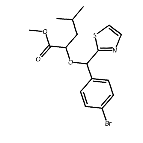 COC(=O)C(CC(C)C)OC(c1ccc(Br)cc1)c1nccs1